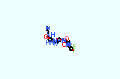 Cc1c(C(=O)NCc2ccc3nc(Nc4ccc(C(=O)NCCCN(C)C)cc4)ncc3c2)c(=O)n(Cc2ccc(F)c(F)c2)n1C